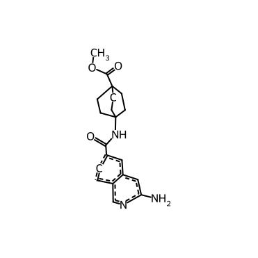 COC(=O)C12CCC(NC(=O)c3ccc4cnc(N)cc4c3)(CC1)CC2